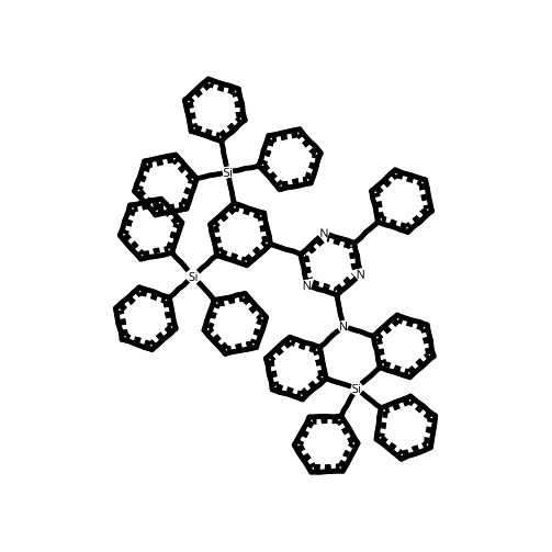 c1ccc(-c2nc(-c3cc([Si](c4ccccc4)(c4ccccc4)c4ccccc4)cc([Si](c4ccccc4)(c4ccccc4)c4ccccc4)c3)nc(N3c4ccccc4[Si](c4ccccc4)(c4ccccc4)c4ccccc43)n2)cc1